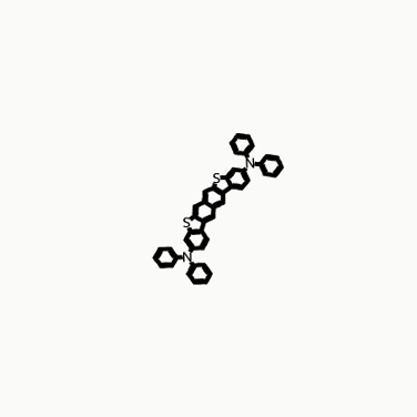 c1ccc(N(c2ccccc2)c2ccc3c(c2)sc2cc4cc5sc6cc(N(c7ccccc7)c7ccccc7)ccc6c5cc4cc23)cc1